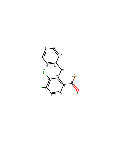 O=C(S)c1ccc(F)c(F)c1Cc1ccccc1